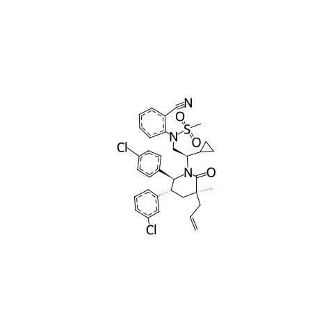 C=CC[C@@]1(C)C[C@H](c2cccc(Cl)c2)[C@@H](c2ccc(Cl)cc2)N([C@@H](CN(c2ccccc2C#N)S(C)(=O)=O)C2CC2)C1=O